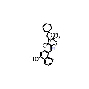 CC1(CN2C(=O)S/C(=C/c3ccc(O)c4ccccc34)C2=O)CCCCC1